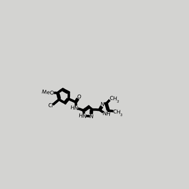 COc1ccc(C(=O)Nc2cc(-c3nc(C)c(C)[nH]3)n[nH]2)cc1Cl